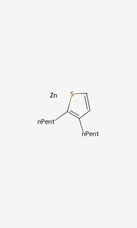 CCCCCc1ccsc1CCCCC.[Zn]